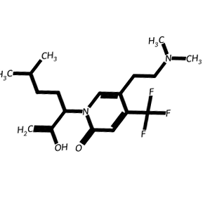 C=C(O)C(CCC(C)C)n1cc(CCN(C)C)c(C(F)(F)F)cc1=O